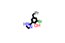 CC(C)Cc1cc(Br)c(O)c(C2=NCCN2)c1